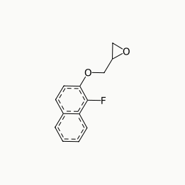 Fc1c(OCC2CO2)ccc2ccccc12